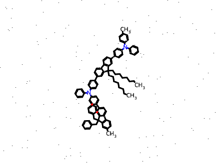 CCCCCCCCC1(CCCCCCCC)c2cc(-c3ccc(N(c4ccccc4)c4ccc(C)cc4)cc3)ccc2-c2ccc(-c3ccc(N(c4ccccc4)c4ccc(-c5ccc6c(c5)C(Cc5ccccc5)(Cc5ccccc5)c5cc(C)ccc5-6)cc4)cc3)cc21